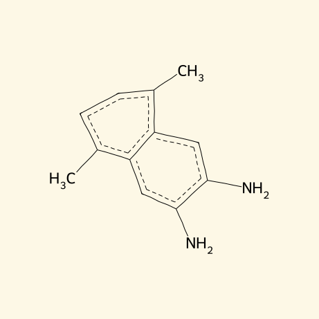 Cc1ccc(C)c2cc(N)c(N)cc12